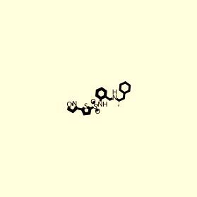 C[C@@H](CC1CCCCC1)NCc1ccccc1NS(=O)(=O)c1ccc(-c2ccon2)s1